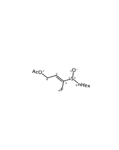 CCCCCC[S+]([O-])/C(F)=C/COC(C)=O